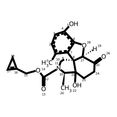 Cc1ccc(O)c2c1[C@]13CCN(C(=O)OCC4=CC4)[C@H](C)C1(O)CCC(=O)[C@@H]3O2